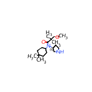 COCC(C)(C)C(=O)N(C1CCC(C)(C)CC1)[C@H]1CCNC1